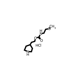 COCCNC(=O)OCCC1CCNCC1.Cl